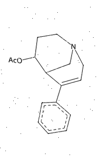 CC(=O)OC1CCN2CC=C(c3ccccc3)C1C2